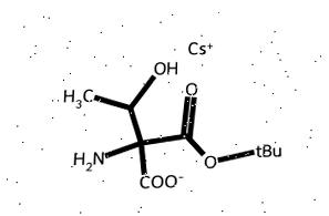 CC(O)C(N)(C(=O)[O-])C(=O)OC(C)(C)C.[Cs+]